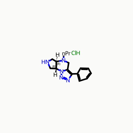 CCCN1Cc2c(-c3ccccc3)nnn2[C@@H]2CNC[C@H]21.Cl